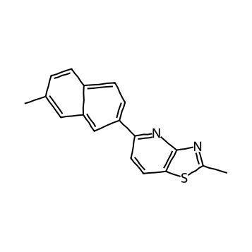 Cc1ccc2ccc(-c3ccc4sc(C)nc4n3)cc2c1